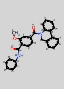 COc1cc(C(=O)N2Cc3ccccc3-c3ccccc32)ccc1C(=O)Nc1ccccc1